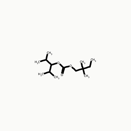 CCC(C)(C)COC(=O)OC(C(C)C)C(C)C